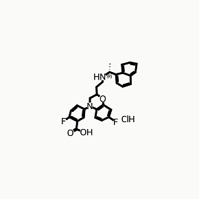 C[C@@H](NCCC1CN(c2ccc(F)c(C(=O)O)c2)c2ccc(F)cc2O1)c1cccc2ccccc12.Cl